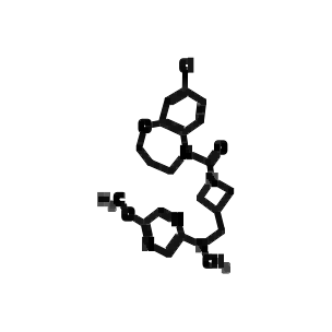 COc1cnc(N(C)CC2CN(C(=O)N3CCCOc4cc(Cl)ccc43)C2)cn1